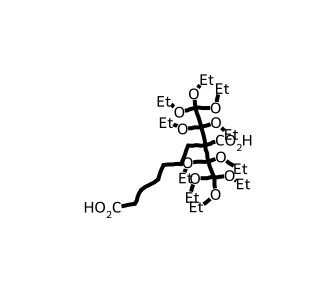 CCOC(OCC)(OCC)C(OCC)(OCC)C(CCCCCCC(=O)O)(C(=O)O)C(OCC)(OCC)C(OCC)(OCC)OCC